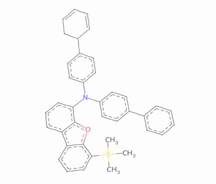 CS(C)(C)c1cccc2c1oc1c(N(c3ccc(-c4ccccc4)cc3)c3ccc(C4C=CC=CC4)cc3)cccc12